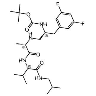 CC(C)CNC(=O)[C@@H](NC(=O)[C@H](C)NC[C@H](Cc1cc(F)cc(F)c1)NC(=O)OC(C)(C)C)C(C)C